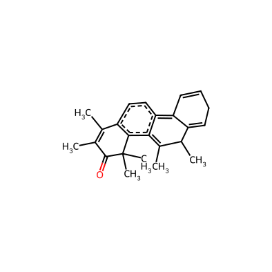 CC1=C(C)c2ccc3c(c2C(C)(C)C1=O)=C(C)C(C)C1=CCC=CC=31